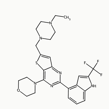 CCN1CCN(Cc2cc3nc(-c4cccc5[nH]c(C(F)(F)F)cc45)nc(N4CCOCC4)c3s2)CC1